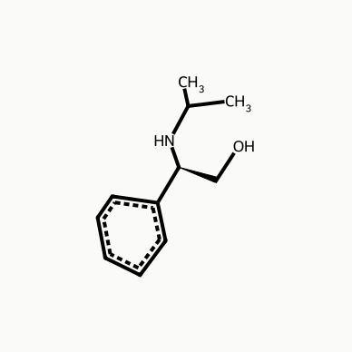 CC(C)N[C@@H](CO)c1ccccc1